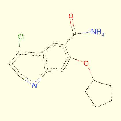 NC(=O)c1cc2c(Cl)ccnc2cc1OC1CCCC1